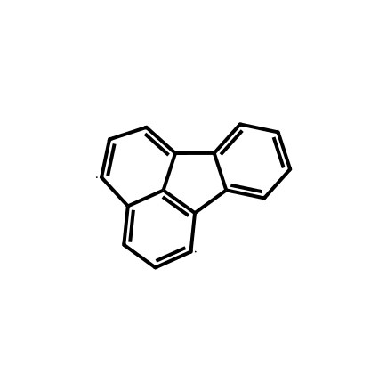 [c]1ccc2[c]ccc3c2c1-c1ccccc1-3